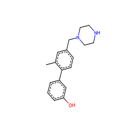 Cc1cc(CN2CCNCC2)ccc1-c1cccc(O)c1